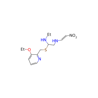 CCNC(CNC=C[N+](=O)[O-])SCc1ncccc1OCC